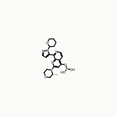 C[C@@H]1COCCN1c1cc(OP(O)O)c2ccnc(-c3ccnn3C3CCCCO3)c2n1